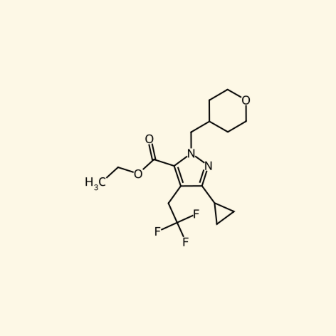 CCOC(=O)c1c(CC(F)(F)F)c(C2CC2)nn1CC1CCOCC1